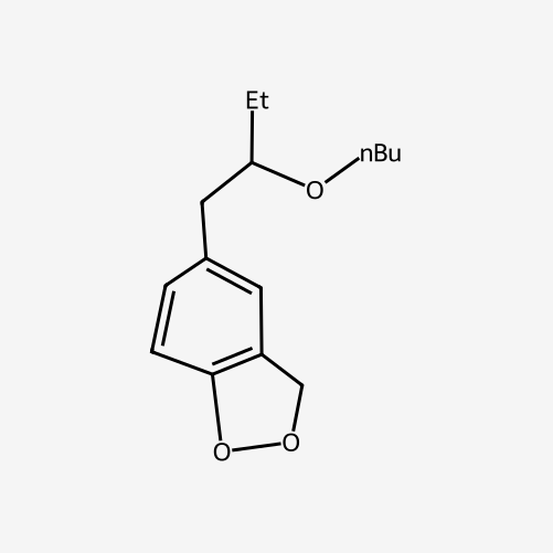 CCCCOC(CC)Cc1ccc2c(c1)COO2